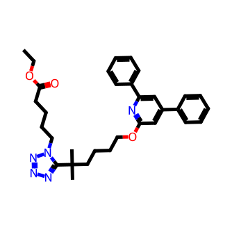 CCOC(=O)CCCCn1nnnc1C(C)(C)CCCCOc1cc(-c2ccccc2)cc(-c2ccccc2)n1